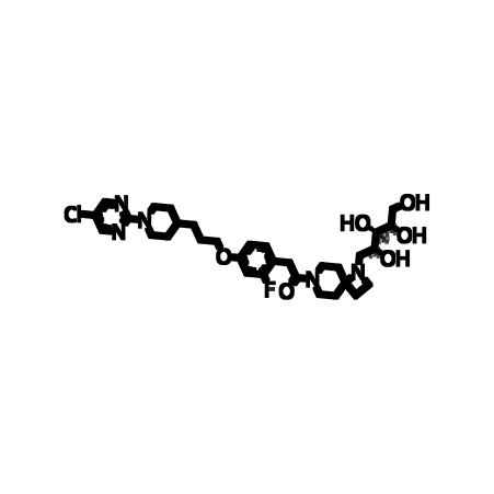 O=C(Cc1ccc(OCCCC2CCN(c3ncc(Cl)cn3)CC2)cc1F)N1CCC2(CC1)CCN2C[C@H](O)[C@H](O)[C@H](O)CO